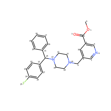 COC(=O)c1cncc(CN2CCN(C(c3ccccc3)c3ccc(F)cc3)CC2)c1